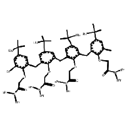 CCCN(CCC)C(=O)COc1c(C)cc(C(C)(C)C(C)(C)C)cc1Cc1cc(C(C)(C)C(C)(C)C)cc(Cc2cc(C(C)(C)C(C)(C)C)cc(Cc3cc(C(C)(C)C(C)(C)C)cc(CC)c3OCC(=O)N(CCC)CCC)c2OCC(=O)N(CCC)CCC)c1OCC(=O)N(CCC)CCC